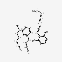 CC(C)c1cccc(C(C)C)c1N=C=O.CCOC(=O)N=C=O.O=C=NCCCCl.O=C=NCc1ccccc1